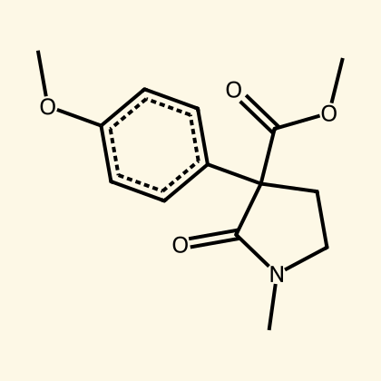 COC(=O)C1(c2ccc(OC)cc2)CCN(C)C1=O